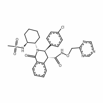 CS(=O)(=O)N[C@H]1CCCC[C@@H]1N1C(=O)c2ccccc2[C@@H](C(=O)NOCc2ncncn2)[C@@H]1c1ccc(Cl)cc1